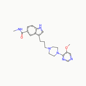 CNC(=O)c1ccc2[nH]cc(CCCN3CCN(c4ncncc4OC)CC3)c2c1